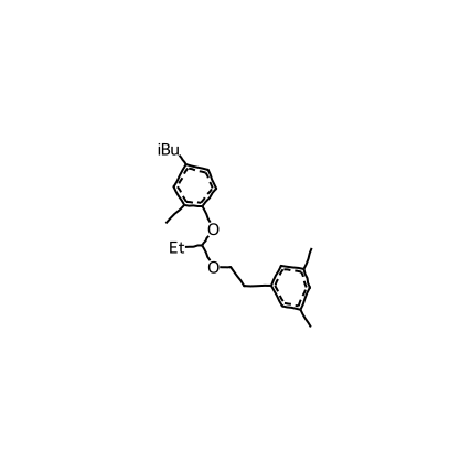 CCC(OCCc1cc(C)cc(C)c1)Oc1ccc(C(C)CC)cc1C